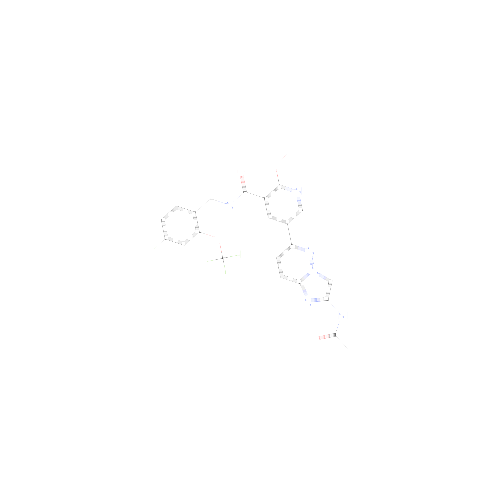 COc1ncc(-c2ccc3nc(NC(C)=O)cn3n2)cc1C(=O)NCc1ccc(F)cc1OC(F)(F)F